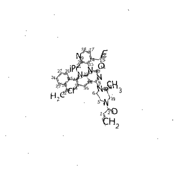 C=CC(=O)N1CCN(c2nc(=O)n(-c3c(CF)ccnc3C(C)C)c3nc(-c4ccccc4C=C)c(Cl)cc23)[C@@H](C)C1